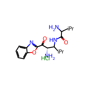 CC(C)C(N)C(=O)NC(C(C)C)[C@H](N)C(=O)c1nc2ccccc2o1.Cl